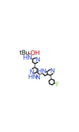 CC(C)(C)C(O)Nc1cncc(-c2cnc3[nH]nc(-c4cc5c(-c6cccc(F)c6)cncc5[nH]4)c3c2)c1